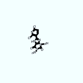 CCCn1c(=O)c2[nH]c(-c3ccc(Cl)nc3Cl)nc2n(CCC)c1=O